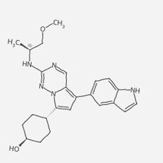 COC[C@H](C)Nc1ncc2c(-c3ccc4[nH]ccc4c3)cc([C@H]3CC[C@H](O)CC3)n2n1